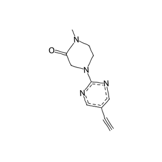 C#Cc1cnc(N2CCN(C)C(=O)C2)nc1